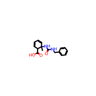 CC1(NC(=O)NCc2ccccc2)C=CC=CC1C(=O)O